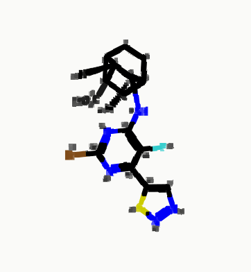 CCOC(=O)[C@@H]1C2CCC(CC2)[C@H]1Nc1nc(Br)nc(-c2cnns2)c1F